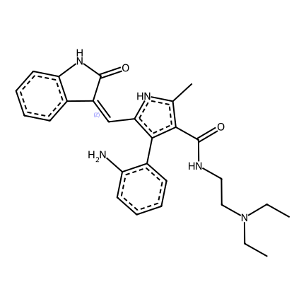 CCN(CC)CCNC(=O)c1c(C)[nH]c(/C=C2\C(=O)Nc3ccccc32)c1-c1ccccc1N